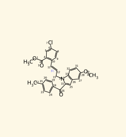 COC(=O)c1cc(Cl)ccc1/C=C/Cn1c(C(=O)c2ccc(C)cc2)cc2cc(OC)ccc21